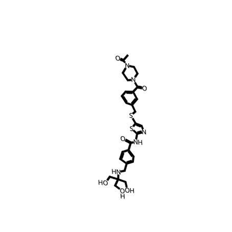 CC(=O)N1CCN(C(=O)c2cccc(CSc3cnc(NC(=O)c4ccc(CNC(CO)(CO)CO)cc4)s3)c2)CC1